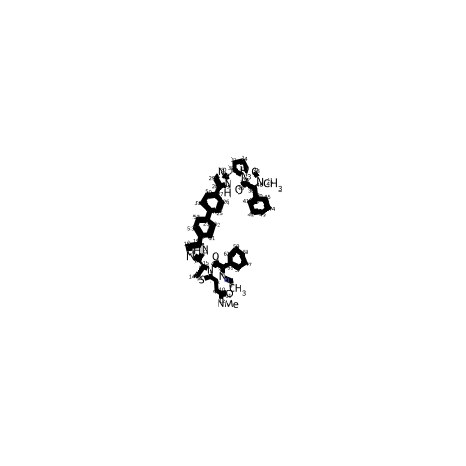 C/C=N/C(C(=O)N1C(CCC(=O)NC)SC[C@H]1c1ncc(-c2ccc(-c3ccc(-c4cnc([C@@H]5CCCN5C(=O)[C@@H](c5ccccc5)N(C)C)[nH]4)cc3)cc2)[nH]1)c1ccccc1